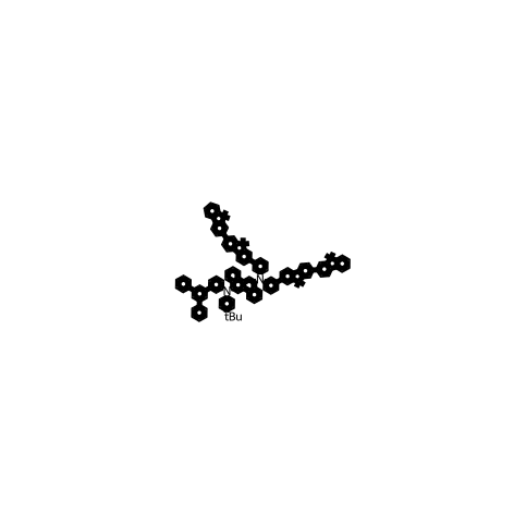 CC(C)(C)c1ccc(N(c2cccc(-c3cc(-c4ccccc4)cc(-c4ccccc4)c3)c2)c2cc3c4ccccc4c(N(c4cccc(-c5ccc6c(c5)C(C)(C)c5cc(-c7ccc8c(c7)C(C)(C)c7ccccc7-8)ccc5-6)c4)c4cccc(-c5ccc6c(c5)C(C)(C)c5cc(-c7ccc8c(c7)C(C)(C)c7ccccc7-8)ccc5-6)c4)cc3c3ccccc23)cc1